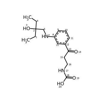 CCC(O)(CC)CNc1cccc(C(=O)CCNC(=O)O)c1